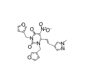 Cn1cc(/C=C/c2c([N+](=O)[O-])c(=O)n(Cc3ccoc3)c(=O)n2Cc2ccoc2)cn1